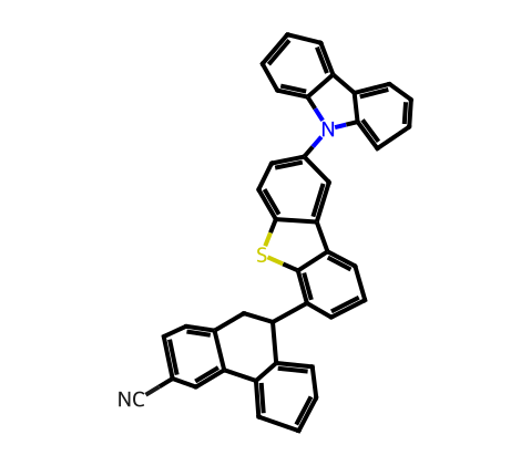 N#Cc1ccc2c(c1)-c1ccccc1C(c1cccc3c1sc1ccc(-n4c5ccccc5c5ccccc54)cc13)C2